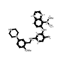 COc1ccc(N2CCNCC2)cc1CNc1ncc(Br)c(Nc2ccc3nccnc3c2N(C)SC)n1